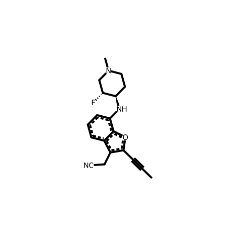 CC#Cc1oc2c(N[C@@H]3CCN(C)C[C@H]3F)cccc2c1CC#N